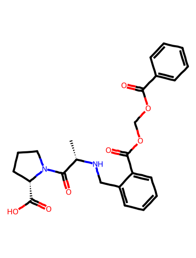 C[C@H](NCc1ccccc1C(=O)OCOC(=O)c1ccccc1)C(=O)N1CCC[C@H]1C(=O)O